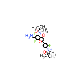 CC(C)(C)C(=O)Nc1ccc(-c2cc(=O)c3c(NC(=O)C(C)(C)C)c(F)c(CN)c(F)c3o2)cc1F